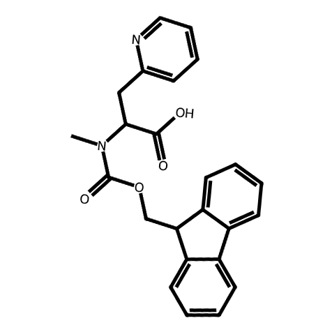 CN(C(=O)OCC1c2ccccc2-c2ccccc21)C(Cc1ccccn1)C(=O)O